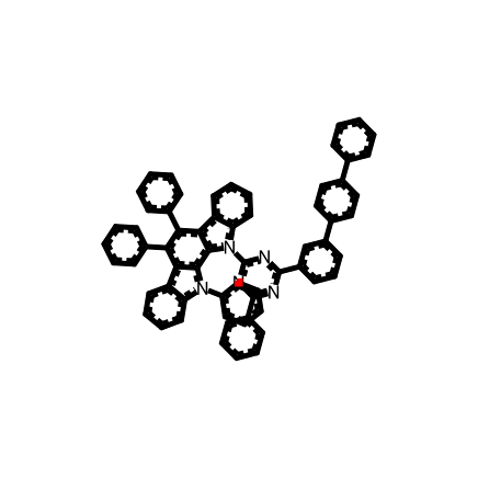 c1ccc(-c2ccc(-c3cccc(-c4nc(-c5ccccc5)nc(-n5c6ccccc6c6c(-c7ccccc7)c(-c7ccccc7)c7c8ccccc8n(-c8ccccc8)c7c65)n4)c3)cc2)cc1